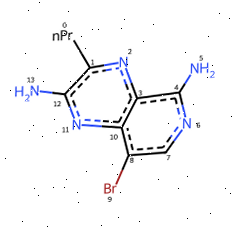 CCCc1nc2c(N)ncc(Br)c2nc1N